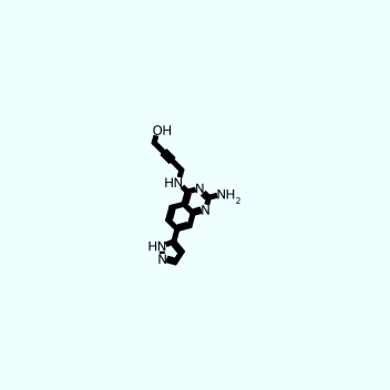 Nc1nc(NCC#CCO)c2ccc(-c3ccn[nH]3)cc2n1